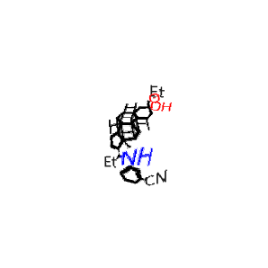 CCOC[C@@]1(O)CC[C@H]2[C@H](CC[C@@H]3[C@@H]2CC[C@]2(C)[C@@H](C(CC)Nc4cccc(C#N)c4)CC[C@@H]32)C1